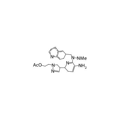 CNN(CC1C=c2cccnc2=CC1)C1=NC(C2C=NN(CCOC(C)=O)C2)CC=C1N